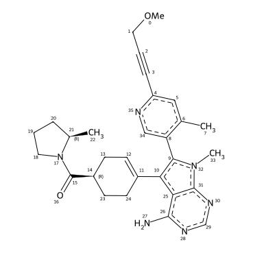 COCC#Cc1cc(C)c(-c2c(C3=CC[C@H](C(=O)N4CCC[C@H]4C)CC3)c3c(N)ncnc3n2C)cn1